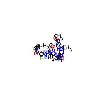 COCCn1c(-c2nc3cc(C(=O)N4C[C@H]5CC[C@@H]4[C@@H]5Nc4cnc5c(c4)cc(-c4nc6cc(C(=O)N7C[C@H]8CC9C[C@@H]7[C@H]98)cc(F)c6n4C)n5CC4CC4)ccc3n2C)cc2ccc(OC)nc21